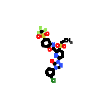 CCS(=O)(=O)c1ccc(-n2ncn(-c3cccc(Cl)c3)c2=O)nc1-c1nc2cc(S(=O)(=O)C(F)(F)F)ccc2o1